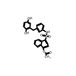 CC(=O)Oc1ccc(S(=O)(=O)Nc2cccc(Cc3cc(O)ccc3O)c2)c2ccccc12